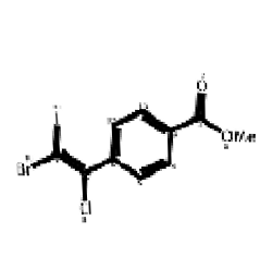 COC(=O)c1ccc(C(Cl)=C(Br)I)cc1